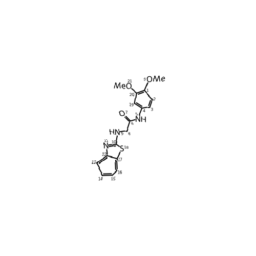 COc1ccc(NC(=O)CNc2nc3ccccc3s2)cc1OC